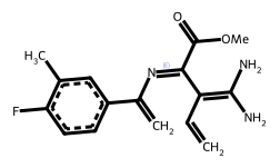 C=CC(=C(N)N)/C(=N\C(=C)c1ccc(F)c(C)c1)C(=O)OC